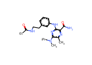 C[CH]C(=O)NCCc1cccc(Nc2nc(N(C)C(C)C)c(C)nc2C(N)=O)c1